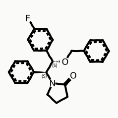 O=C1CCCN1[C@@H](c1ccccc1)[C@@H](OCc1ccccc1)c1ccc(F)cc1